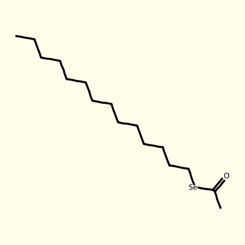 CCCCCCCCCCCCCC[Se]C(C)=O